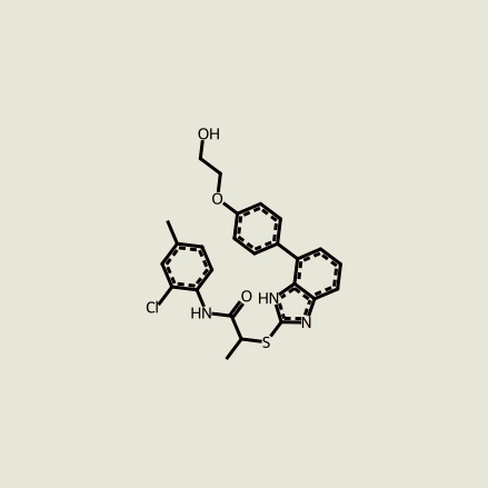 Cc1ccc(NC(=O)C(C)Sc2nc3cccc(-c4ccc(OCCO)cc4)c3[nH]2)c(Cl)c1